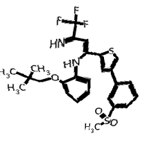 CC(C)(C)COc1ccccc1N/C(=C\C(=N)C(F)(F)F)c1cc(-c2cccc(S(C)(=O)=O)c2)cs1